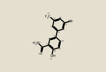 NC(=O)c1cc(-c2cc(Br)cc(C(F)(F)F)c2)ccc1O